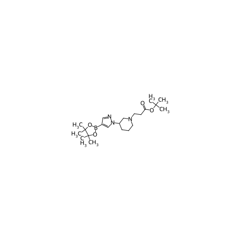 CC(C)(C)OC(=O)CCN1CCCC(n2cc(B3OC(C)(C)C(C)(C)O3)cn2)C1